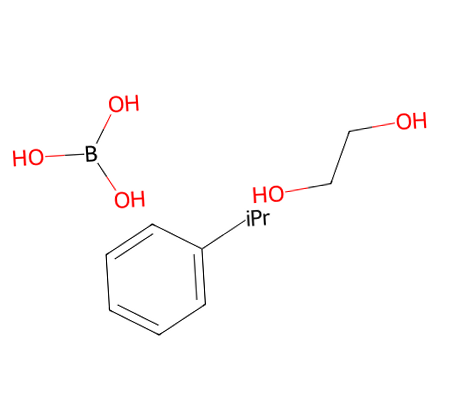 CC(C)c1ccccc1.OB(O)O.OCCO